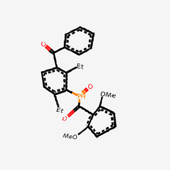 CCc1ccc(C(=O)c2ccccc2)c(CC)c1[PH](=O)C(=O)c1c(OC)cccc1OC